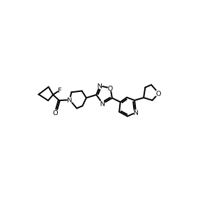 O=C(N1CCC(c2noc(-c3ccnc(C4CCOC4)c3)n2)CC1)C1(F)CCC1